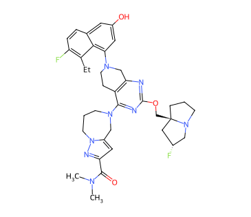 CCc1c(F)ccc2cc(O)cc(N3CCc4c(nc(OC[C@@]56CCCN5C[C@H](F)C6)nc4N4CCCn5nc(C(=O)N(C)C)cc5C4)C3)c12